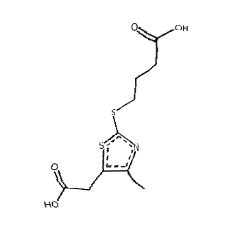 Cc1nc(SCCCC(=O)O)sc1CC(=O)O